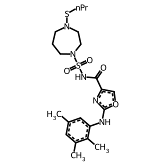 CCCSN1CCCN(S(=O)(=O)NC(=O)c2coc(Nc3cc(C)cc(C)c3C)n2)CC1